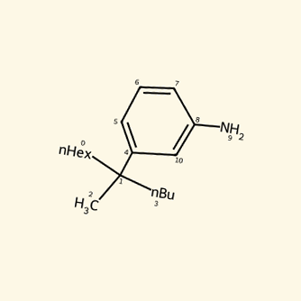 CCCCCCC(C)(CCCC)c1cccc(N)c1